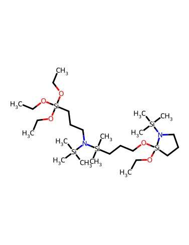 CCO[Si](CCCN([Si](C)(C)C)[Si](C)(C)CCCO[Si]1(OCC)CCCN1[Si](C)(C)C)(OCC)OCC